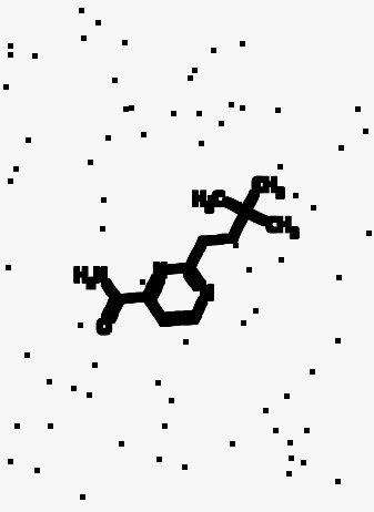 CC(C)(C)CCc1nccc(C(N)=O)n1